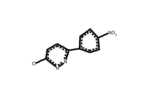 O=[N+]([O-])c1ccc(-c2ccc(Cl)nn2)cc1